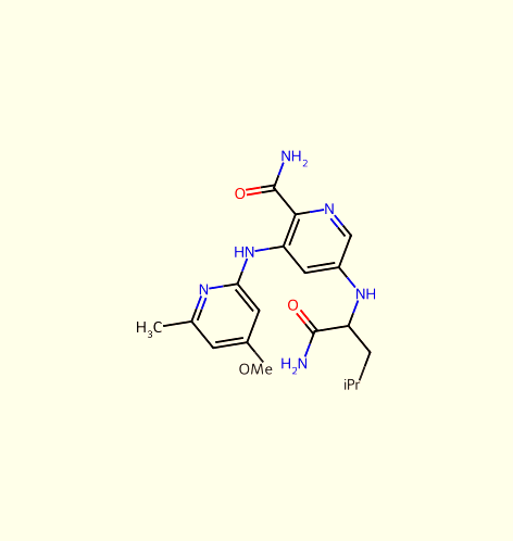 COc1cc(C)nc(Nc2cc(NC(CC(C)C)C(N)=O)cnc2C(N)=O)c1